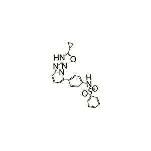 O=C(Nc1nc2cccc(-c3ccc(NS(=O)(=O)c4ccccc4)cc3)n2n1)C1CC1